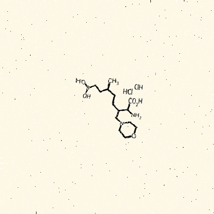 CC(CCB(O)O)CCC(CN1CCOCC1)C(N)C(=O)O.Cl.Cl